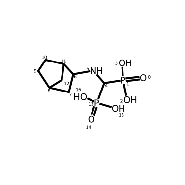 O=P(O)(O)C(NC1CC2CCC1C2)P(=O)(O)O